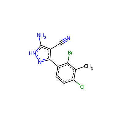 Cc1c(Cl)ccc(-c2n[nH]c(N)c2C#N)c1Br